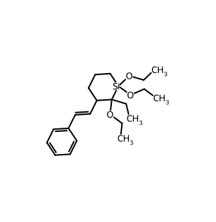 CCOC1(CC)C(C=Cc2ccccc2)CCC[Si]1(OCC)OCC